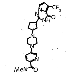 CNC(=O)c1ccc(N2CCN(C3CCC(c4nn5ccc(C(F)(F)F)c5c(=O)[nH]4)C3)CC2)cn1